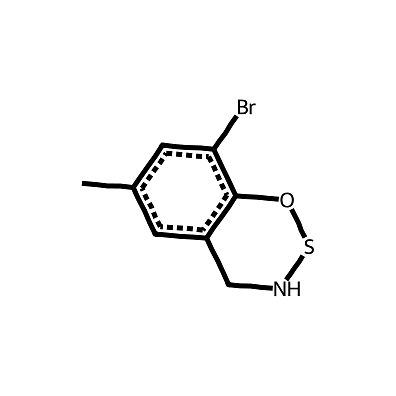 Cc1cc(Br)c2c(c1)CNSO2